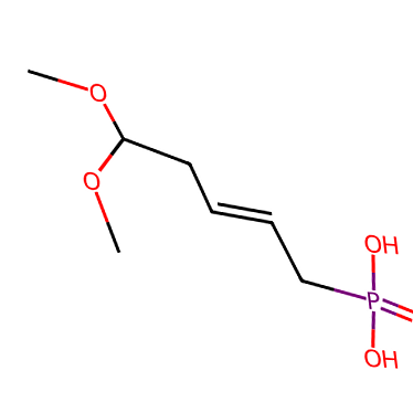 COC(CC=CCP(=O)(O)O)OC